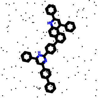 C1=C(c2ccccc2)NC(c2ccc(-c3cccc4c5c(ccc34)NC(c3ccccc3)C=C5c3ccccc3)cc2)N=C1c1ccc(-c2ccccc2)cc1